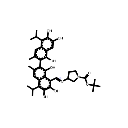 Cc1cc2c(C(C)C)c(O)c(O)cc2c(O)c1-c1c(C)cc2c(C(C)C)c(O)c(O)c(/C=N/C3CCN(C(=O)OC(C)(C)C)C3)c2c1O